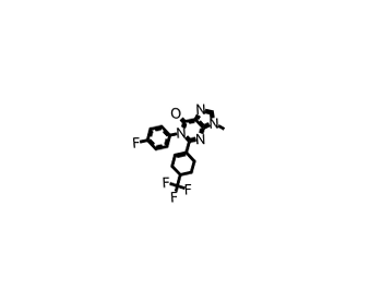 Cn1cnc2c(=O)n(-c3ccc(F)cc3)c(C3=CCC(C(F)(F)F)CC3)nc21